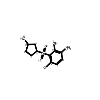 Nc1ccc(Cl)c(S(=O)(=O)C2CCC(O)C2)c1O